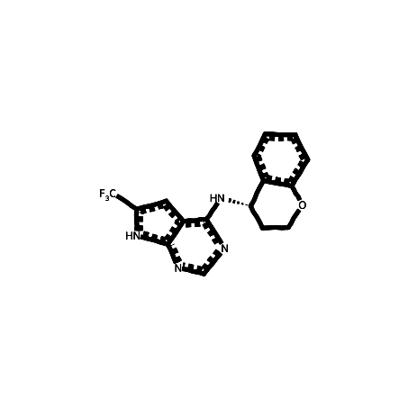 FC(F)(F)c1cc2c(N[C@H]3CCOc4ccccc43)ncnc2[nH]1